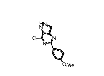 COc1ccc(-c2nc(Cl)c3n[nH]cc3n2)cc1